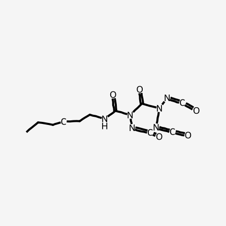 CCCCCCNC(=O)N(N=C=O)C(=O)N(N=C=O)N=C=O